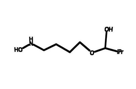 CC(C)C(O)OCCCCNO